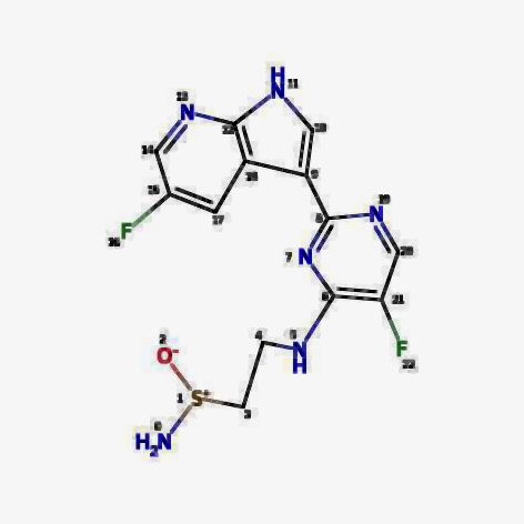 N[S+]([O-])CCNc1nc(-c2c[nH]c3ncc(F)cc23)ncc1F